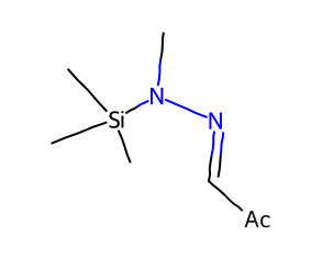 CC(=O)/C=N/N(C)[Si](C)(C)C